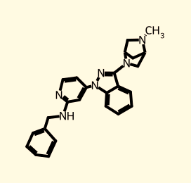 CN1CC2CC1CN2c1nn(-c2ccnc(NCc3ccccc3)c2)c2ccccc12